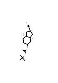 CC(C)(C)OC(=O)NC1CC[C@H]2C[C@](O)(C#N)C[C@@H]2C1